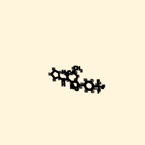 CN(C)Cc1c(C(=O)NC2CCCC2)noc1-c1ccc(C(F)(F)F)cc1